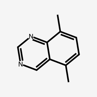 Cc1ccc(C)c2ncncc12